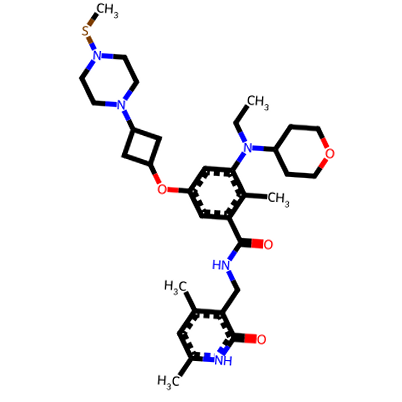 CCN(c1cc(OC2CC(N3CCN(SC)CC3)C2)cc(C(=O)NCc2c(C)cc(C)[nH]c2=O)c1C)C1CCOCC1